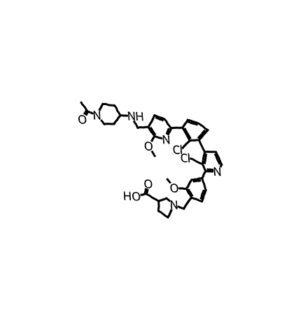 COc1cc(-c2nccc(-c3cccc(-c4ccc(CNC5CCN(C(C)=O)CC5)c(OC)n4)c3Cl)c2Cl)ccc1CN1CCC(C(=O)O)C1